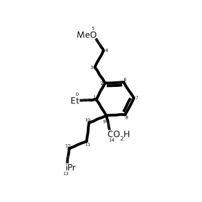 CCC1C(CCOC)=CC=CC1(CCCC(C)C)C(=O)O